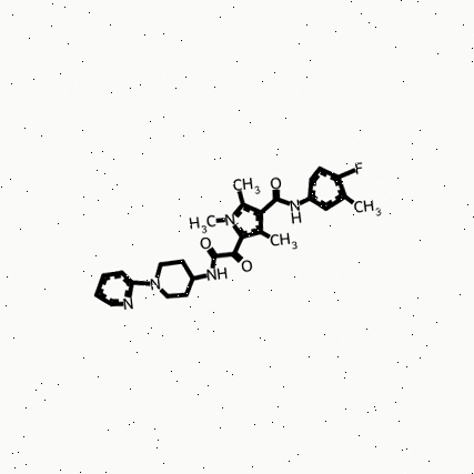 Cc1cc(NC(=O)c2c(C)c(C(=O)C(=O)NC3CCN(c4ccccn4)CC3)n(C)c2C)ccc1F